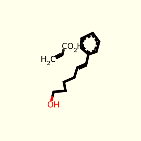 C=CC(=O)O.OCCCCC=Cc1ccccc1